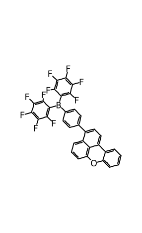 Fc1c(F)c(F)c(B(c2ccc(-c3ccc4c5c(cccc35)Oc3ccccc3-4)cc2)c2c(F)c(F)c(F)c(F)c2F)c(F)c1F